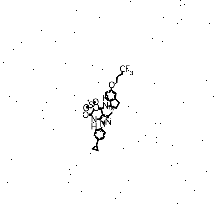 CS(=O)(=O)CC(=O)Nc1c2c(nn1-c1ccc(C3CC3)cc1)C[C@]1(CCc3cc(OCCCC(F)(F)F)ccc31)NC2=O